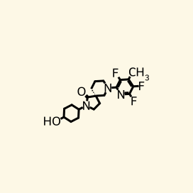 Cc1c(F)c(F)nc(N2CCC[C@@]3(CCN(C4CCC(O)CC4)C3=O)C2)c1F